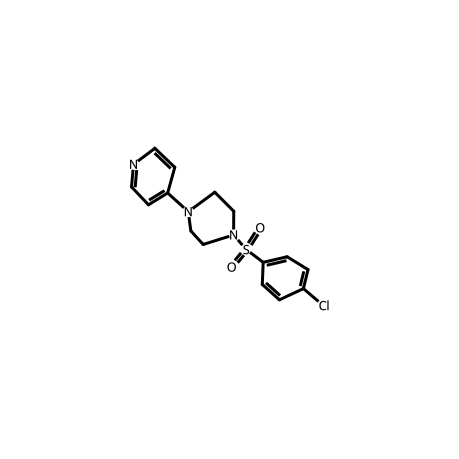 O=S(=O)(c1ccc(Cl)cc1)N1CCN(c2ccncc2)CC1